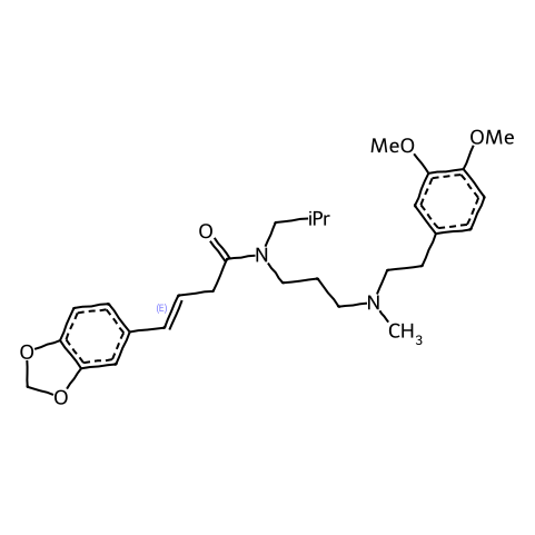 COc1ccc(CCN(C)CCCN(CC(C)C)C(=O)C/C=C/c2ccc3c(c2)OCO3)cc1OC